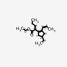 C/C=C\C1=C(C(=C/CC)/C(=O)OCC)CC(CC)C1